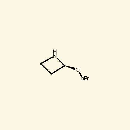 CCCO[C@H]1CCN1